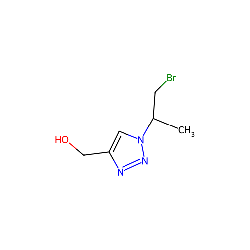 CC(CBr)n1cc(CO)nn1